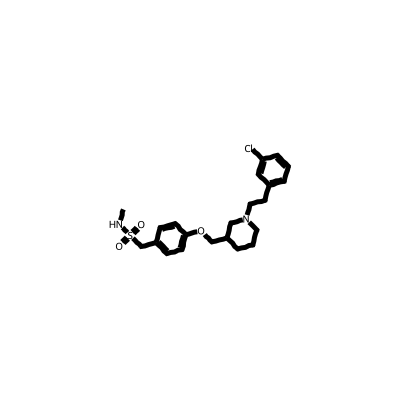 CNS(=O)(=O)Cc1ccc(OCC2CCCN(CCc3cccc(Cl)c3)C2)cc1